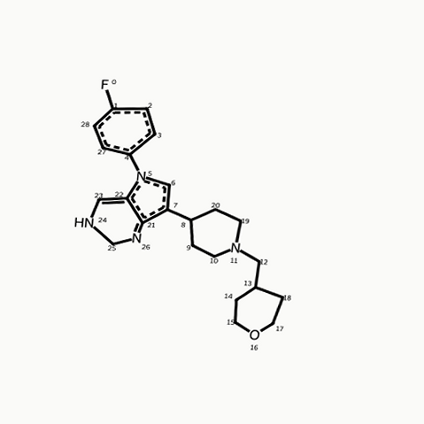 Fc1ccc(-n2cc(C3CCN(CC4CCOCC4)CC3)c3c2=CNCN=3)cc1